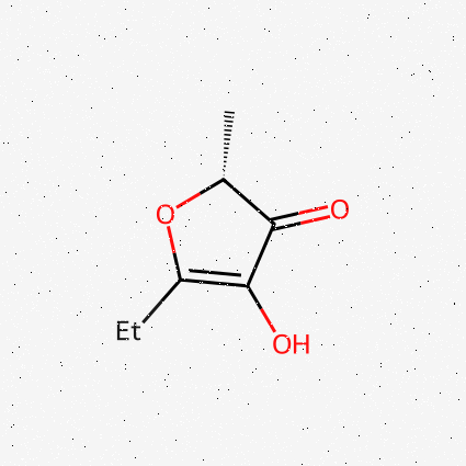 CCC1=C(O)C(=O)[C@@H](C)O1